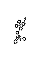 N#Cc1ccc2c(c1)C(c1ccccc1)(c1ccccc1)c1cc(-c3cccc(-c4nc(-c5ccccc5)nc(-c5ccccc5)n4)c3)ccc1-2